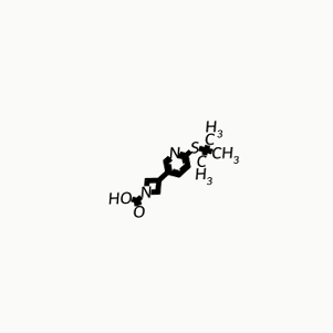 CC(C)(C)Sc1ccc(C2CN(C(=O)O)C2)cn1